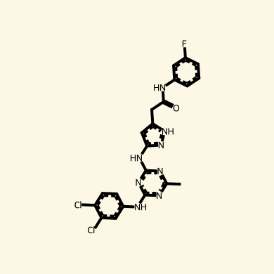 Cc1nc(Nc2ccc(Cl)c(Cl)c2)nc(Nc2cc(CC(=O)Nc3cccc(F)c3)[nH]n2)n1